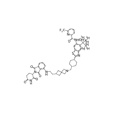 [2H]C([2H])([2H])C(O)(c1cc2nc(C3CCC(CN4CC5(CC(CCNc6cccc7c6C(=O)N(C6CCC(=O)NC6=O)C7=O)C5)C4)CC3)sc2cc1NC(=O)c1cccc(C(F)(F)F)n1)C([2H])([2H])[2H]